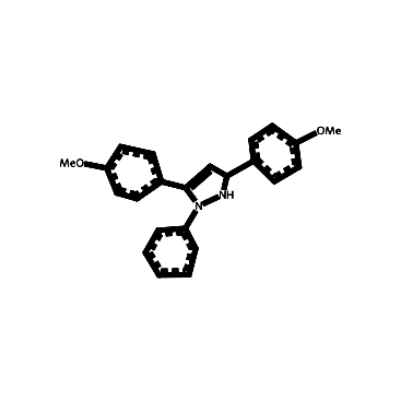 COc1ccc(C2=CC(c3ccc(OC)cc3)NN2c2ccccc2)cc1